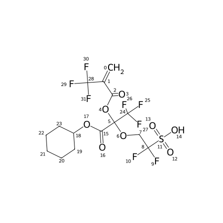 C=C(C(=O)OC(OCC(F)(F)S(=O)(=O)O)(C(=O)OC1CCCCC1)C(F)(F)F)C(F)(F)F